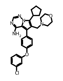 Nc1ncnn2c(C3CCCC3)c(CN3CCOCC3)c(-c3ccc(Oc4cccc(Cl)c4)cc3)c12